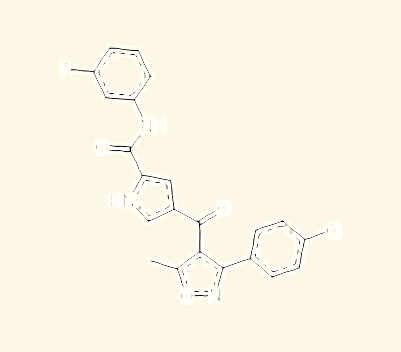 Cc1onc(-c2ccc(Cl)cc2)c1C(=O)c1c[nH]c(C(=O)Nc2cccc(F)c2)c1